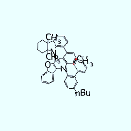 CCCCc1ccc(N2c3cc(C)cc4c3B(c3oc5ccccc5c32)N2c3c-4cccc3C3(C)CCCCC23C)c(-c2ccccc2)c1